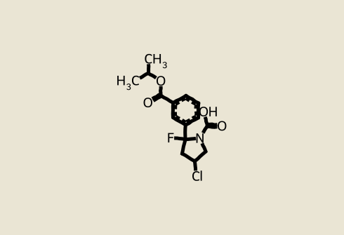 CC(C)OC(=O)c1cccc(C2(F)CC(Cl)CN2C(=O)O)c1